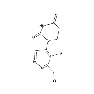 O=C1CCN(c2cnnc(CCl)c2F)C(=O)N1